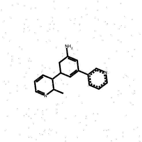 CC1N=CC=CC1C1C=C(c2cccnc2)C=C(N)C1